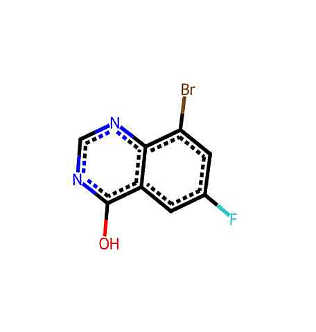 Oc1ncnc2c(Br)cc(F)cc12